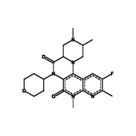 Cc1nc2c(cc1F)c1c(c(=O)n2C)N(C2CCOCC2)C(=O)C2CN(C)C(C)CN12